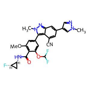 COc1cc(-c2c3c(C#N)cc(-c4cnn(C)c4)cc3nn2C)cc(OC(F)F)c1C(=O)N[C@@H]1C[C@@H]1F